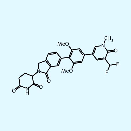 COc1cc(-c2cc(C(F)F)c(=O)n(C)c2)cc(OC)c1-c1ccc2c(c1)C(=O)N(C1CCC(=O)NC1=O)C2